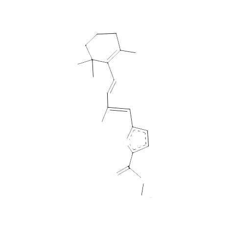 CCCCCCCOC(=O)c1ccc(C=C(C)C=CC2=C(C)CCCC2(C)C)o1